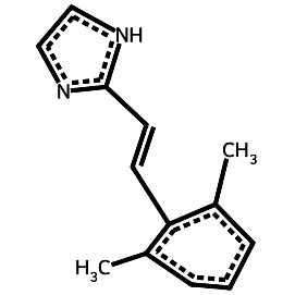 Cc1cccc(C)c1C=Cc1ncc[nH]1